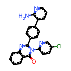 Nc1ncccc1-c1ccc(-c2nc3ccccc3c(=O)n2-c2ccc(Cl)cn2)cc1